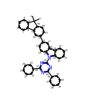 CC1(C)c2ccccc2-c2cc(-c3ccc4c(c3)c3ccccc3n4-c3nc(-c4ccccc4)nc(-c4ccccc4)n3)ccc21